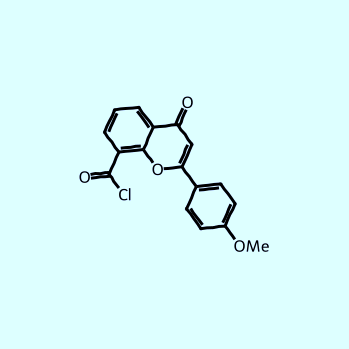 COc1ccc(-c2cc(=O)c3cccc(C(=O)Cl)c3o2)cc1